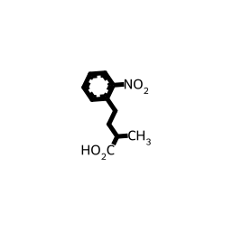 CC(CCc1ccccc1[N+](=O)[O-])C(=O)O